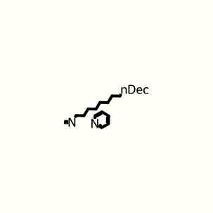 C=NCCCCCCCCCCCCCCCCCC.c1ccncc1